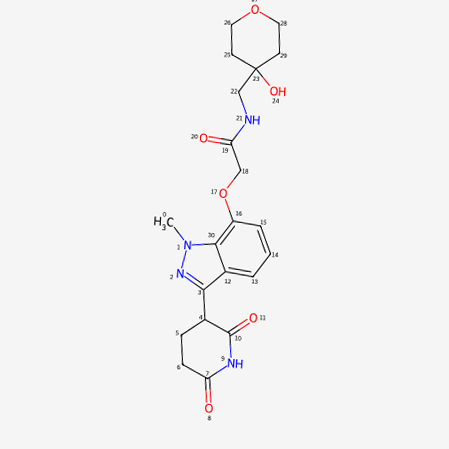 Cn1nc(C2CCC(=O)NC2=O)c2cccc(OCC(=O)NCC3(O)CCOCC3)c21